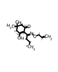 C=CCON=C(CCC)C1=C(O)CC(C)(C)CC1=O